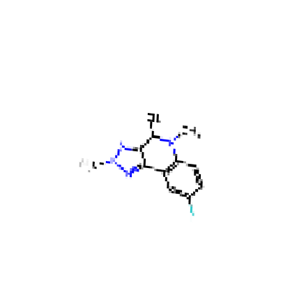 CC1c2nn(C)nc2-c2cc(F)ccc2N1C